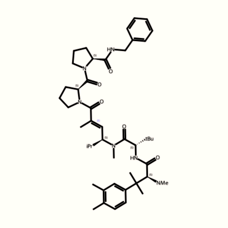 CN[C@H](C(=O)N[C@H](C(=O)N(C)[C@H](/C=C(\C)C(=O)N1CCC[C@H]1C(=O)N1CCC[C@H]1C(=O)NCc1ccccc1)C(C)C)C(C)(C)C)C(C)(C)c1ccc(C)c(C)c1